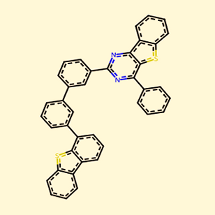 c1ccc(-c2nc(-c3cccc(-c4cccc(-c5cccc6c5sc5ccccc56)c4)c3)nc3c2sc2ccccc23)cc1